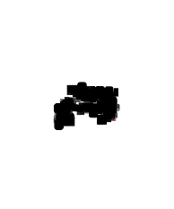 CN(C(=O)[C@@H]1C[C@@H](OCC(=O)NCCCC#Cc2cccc3c2CN(C2CCC(=O)NC2=O)C3=O)CN1C(=O)[C@@H](NC(=O)c1cc2cc(C(F)(F)P(=O)(O)O)ccc2s1)C(C)(C)C)c1ccc(Br)cc1